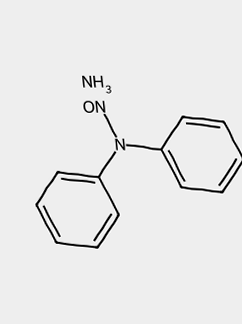 N.O=NN(c1ccccc1)c1ccccc1